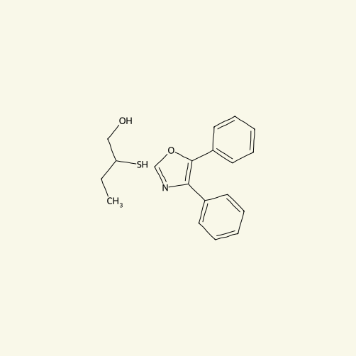 CCC(S)CO.c1ccc(-c2ncoc2-c2ccccc2)cc1